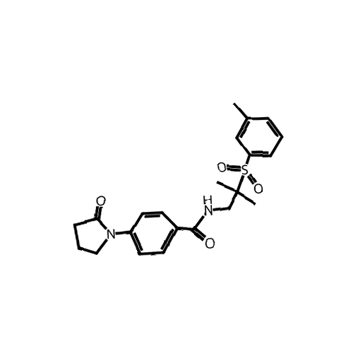 Cc1cccc(S(=O)(=O)C(C)(C)CNC(=O)c2ccc(N3CCCC3=O)cc2)c1